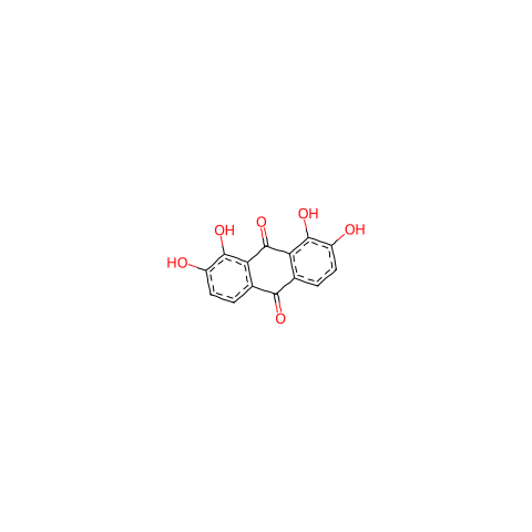 O=C1c2ccc(O)c(O)c2C(=O)c2c1ccc(O)c2O